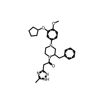 COc1ccc(N2CCN(C(=O)Cc3n[nH]c(C)n3)C(Cc3ccccc3)C2)cc1OC1CCCC1